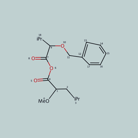 COC(CC(C)C)C(=O)OC(=O)C(OCc1ccccc1)C(C)C